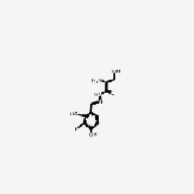 N[C@@H](CO)C(=O)N/N=C/c1ccc(O)c(F)c1O